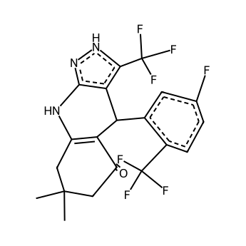 CC1(C)CC(=O)C2=C(C1)Nc1n[nH]c(C(F)(F)F)c1C2c1cc(F)ccc1C(F)(F)F